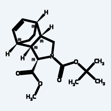 COC(=O)[C@@H]1[C@@H]2[C@H](CN1C(=O)OC(C)(C)C)[C@@H]1C=C[C@H]2CC1